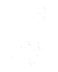 CC(C)CN(C[C@H](O)[C@H](Cc1ccccc1)OC(N)=O)S(=O)(=O)c1ccc(-c2csc(N)n2)cc1